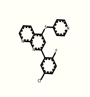 Fc1ccc(Cl)cc1-c1cc(Sc2ccncc2)c2cccnc2n1